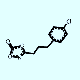 O=c1onc(CCCc2ccc(Cl)cc2)o1